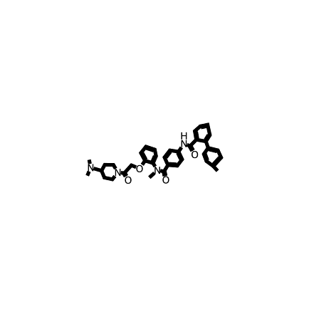 Cc1ccc(-c2ccccc2C(=O)Nc2ccc(C(=O)N(C)c3ccccc3OCC(=O)N3CCC(N(C)C)CC3)cc2)cc1